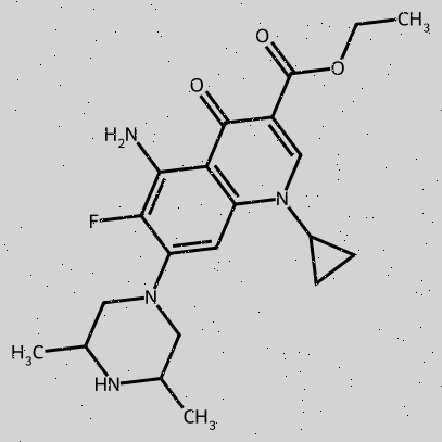 CCOC(=O)c1cn(C2CC2)c2cc(N3CC(C)NC(C)C3)c(F)c(N)c2c1=O